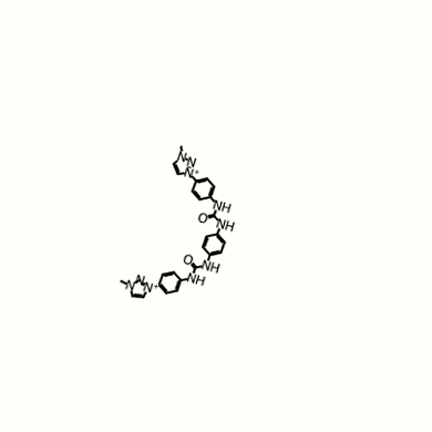 Cn1cc[n+](-c2ccc(NC(=O)Nc3ccc(NC(=O)Nc4ccc(-[n+]5ccn(C)n5)cc4)cc3)cc2)n1